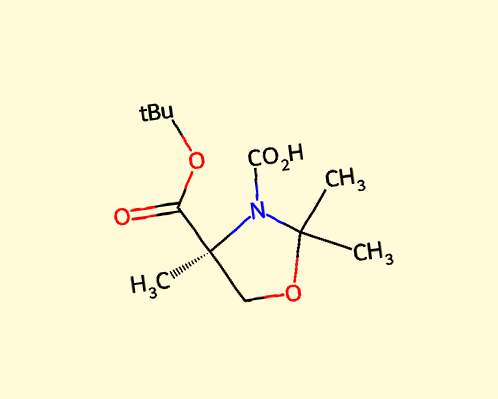 CC(C)(C)OC(=O)[C@]1(C)COC(C)(C)N1C(=O)O